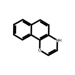 C1=COc2c(ccc3ccccc23)N1